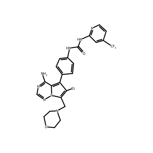 CCc1c(-c2ccc(NC(=O)Nc3cc(C(F)(F)F)ccn3)cc2)c2c(N)ncnn2c1CN1CCOCC1